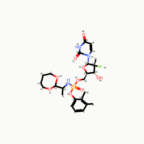 Cc1cccc(OP(=O)(NC(C)C2OCCCCO2)OC[C@H]2O[C@@H](n3ccc(=O)[nH]c3=O)[C@](C)(F)[C@@H]2O)c1C